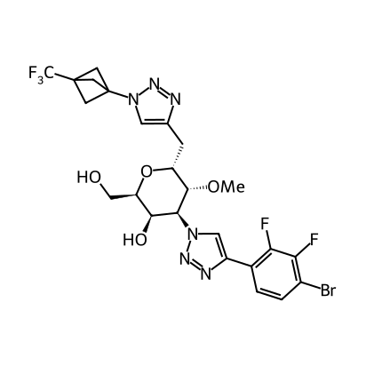 CO[C@@H]1[C@@H](n2cc(-c3ccc(Br)c(F)c3F)nn2)[C@@H](O)[C@@H](CO)O[C@@H]1Cc1cn(C23CC(C(F)(F)F)(C2)C3)nn1